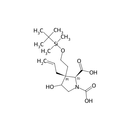 C=CC[C@]1(CCO[Si](C)(C)C(C)(C)C)C(O)CN(C(=O)O)[C@@H]1C(=O)O